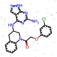 Nc1nc(NC2Cc3ccccc3N(C(=O)COc3cccc(Cl)c3)C2)c2cn[nH]c2n1